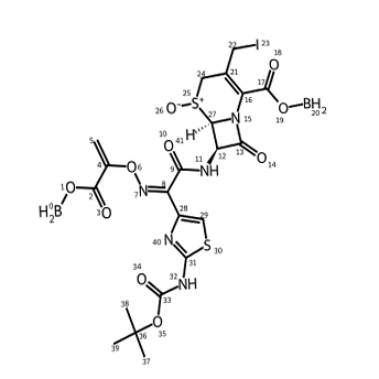 BOC(=O)C(=C)O/N=C(\C(=O)N[C@@H]1C(=O)N2C(C(=O)OB)=C(CI)C[S+]([O-])[C@H]12)c1csc(NC(=O)OC(C)(C)C)n1